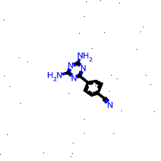 N#Cc1ccc(-c2nc(N)nc(N)n2)cc1